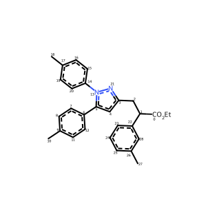 CCOC(=O)C(Cc1cc(-c2ccc(C)cc2)n(-c2ccc(C)cc2)n1)c1cccc(C)c1